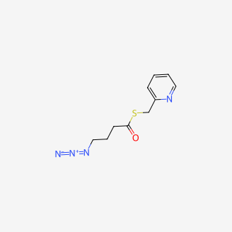 [N-]=[N+]=NCCCC(=O)SCc1ccccn1